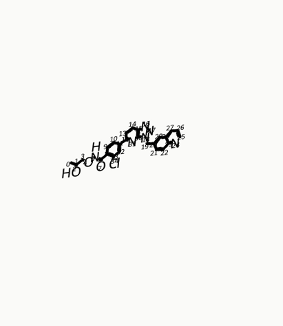 CC(O)CONC(=O)c1ccc(-c2ccc3nnn(Cc4ccc5ncccc5c4)c3n2)cc1Cl